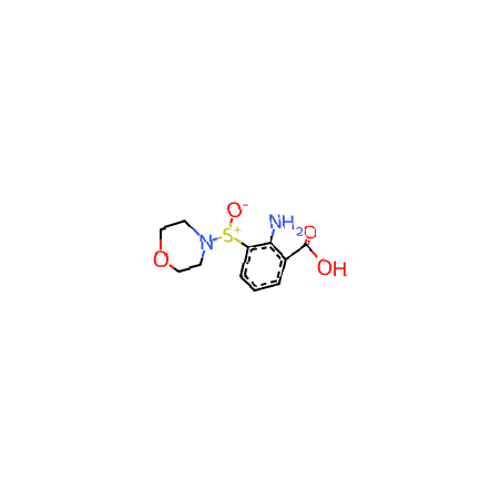 Nc1c(C(=O)O)cccc1[S+]([O-])N1CCOCC1